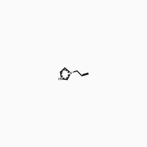 C=CC[n+]1[c]c[nH]c1